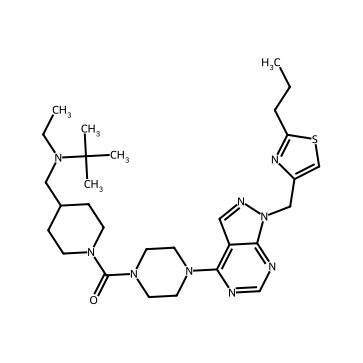 CCCc1nc(Cn2ncc3c(N4CCN(C(=O)N5CCC(CN(CC)C(C)(C)C)CC5)CC4)ncnc32)cs1